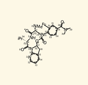 CN[C@@H](C)C(=O)N[C@H](C(=O)N1c2ncccc2C[C@@H]1OC(=O)Nc1ccc(C(=O)N(C)C)cc1F)C(C)C